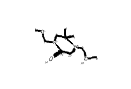 COCN1CC(C)(C)N(COC)CC1=O